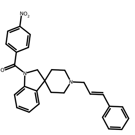 O=C(c1ccc([N+](=O)[O-])cc1)N1CC2(CCN(C/C=C/c3ccccc3)CC2)c2ccccc21